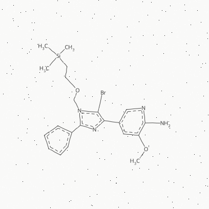 COc1cc(-c2nc(-c3ccccc3)n(COCC[Si](C)(C)C)c2Br)cnc1N